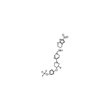 O=[N+]([O-])c1cn2c(n1)OC[C@@H](NCN1C=NC(N3CCC(Oc4ccc(OC(F)(F)F)cc4)C(F)C3)=CC1)C2